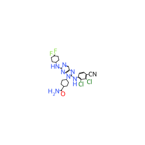 N#Cc1ccc(Nc2nc3cnc(NC4CCC(F)(F)CC4)nc3n2C2CCC(C(N)=O)CC2)c(Cl)c1Cl